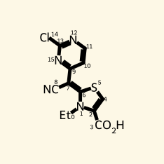 CCN1C(C(=O)O)=CSC1=C(C#N)c1ccnc(Cl)n1